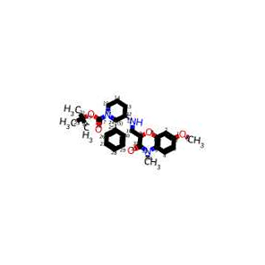 COc1ccc2c(c1)OC(CN[C@H]1CCCN(C(=O)OC(C)(C)C)[C@H]1c1ccccc1)C(=O)N2C